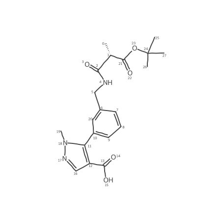 C[C@@H](C(=O)NCc1cccc(-c2c(C(=O)O)cnn2C)c1)C(=O)OC(C)(C)C